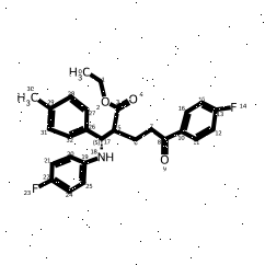 CCOC(=O)C(CCC(=O)c1ccc(F)cc1)[C@H](Nc1ccc(F)cc1)c1ccc(C)cc1